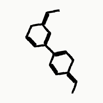 CC=C1C=CC(C2=CC(=CC)CC=C2)=CC1